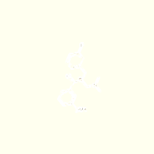 COc1cccc(C(=O)[C@H](Cc2cccc(F)c2)CN(C)C)c1